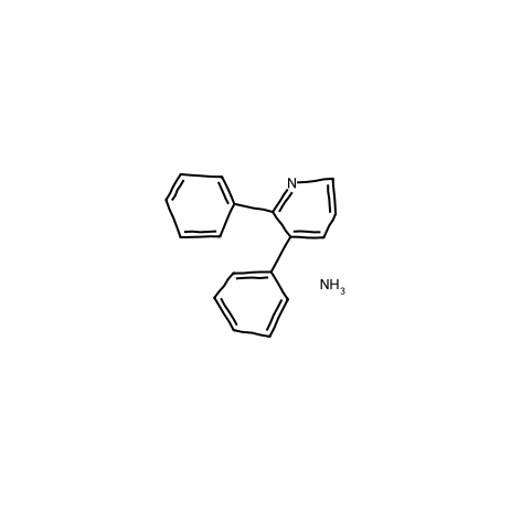 N.c1ccc(-c2cccnc2-c2ccccc2)cc1